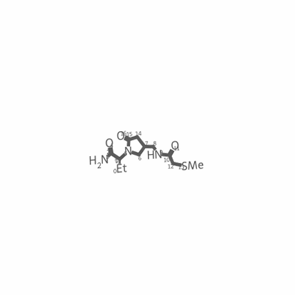 CC[C@@H](C(N)=O)N1CC(CNC(=O)CSC)CC1=O